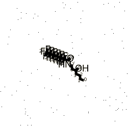 CCCCC(O)CCNC(=O)C(F)(F)C(F)(F)C(F)(F)C(F)(F)C(F)(F)C(F)(F)F